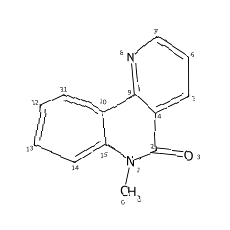 Cn1c(=O)c2cccnc2c2ccccc21